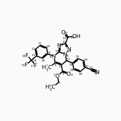 CCOC(=O)C1=C(C)N(c2cccc(C(F)(F)F)c2)c2nc(C(=O)O)nn2C1c1ccc(C#N)cc1